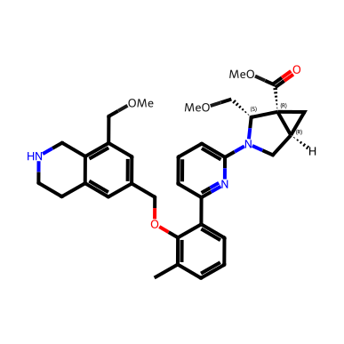 COCc1cc(COc2c(C)cccc2-c2cccc(N3C[C@@H]4C[C@]4(C(=O)OC)[C@H]3COC)n2)cc2c1CNCC2